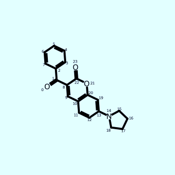 O=C(c1ccccc1)c1cc2ccc(N3CCCC3)cc2oc1=O